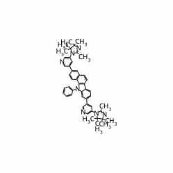 CC1=NC(C)(C)C(C)(C)N1c1cncc(-c2ccc3c(ccc4c5ccc(-c6cncc(N7C(C)=NC(C)(C)C7(C)C)c6)cc5n(-c5ccccc5)c34)c2)c1